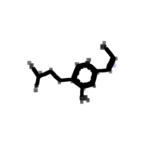 CC/C=C\c1cc(C)c(CCC(F)F)cn1